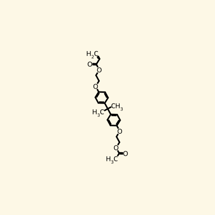 C=CC(=O)OCCOc1ccc(C(C)(C)c2ccc(OCCOC(C)=O)cc2)cc1